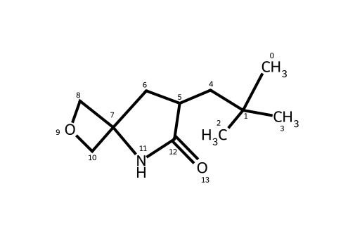 CC(C)(C)CC1CC2(COC2)NC1=O